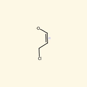 [O]/C=C\CCl